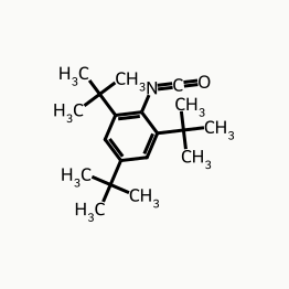 CC(C)(C)c1cc(C(C)(C)C)c(N=C=O)c(C(C)(C)C)c1